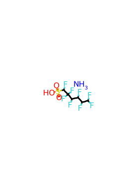 N.O=S(=O)(O)C(F)C(F)(F)C(F)C(F)C(F)C(F)F